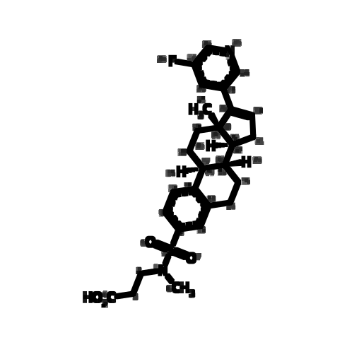 CN(CCC(=O)O)S(=O)(=O)c1ccc2c(c1)CC[C@@H]1[C@@H]2CC[C@]2(C)C(c3cncc(F)c3)=CC[C@@H]12